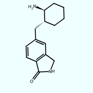 N[C@H]1CCCC[C@@H]1Cc1ccc2c(c1)CNC2=O